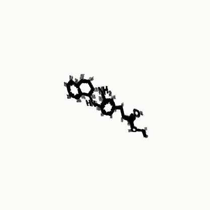 CCOC(=O)CCc1ccc(N[C@@H]2CCCc3ccccc32)c(N)c1